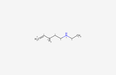 C=C[SiH2]CCNCC